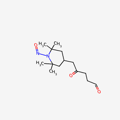 CC1(C)CC(CC(=O)CCC=O)CC(C)(C)N1N=O